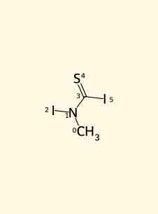 CN(I)C(=S)I